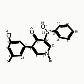 Cc1cc(Cl)cc(-c2cn(C)cc([S+]([O-])c3ccccc3)c2=O)c1